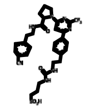 N#Cc1ccc(CCNC(=O)C2CCCN2c2cc(-c3ccc(CCNC(=O)NCCCS(=O)(=O)O)cc3)nc(C(F)(F)F)n2)cc1